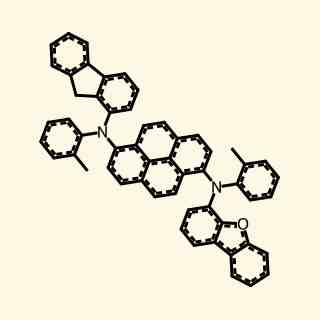 Cc1ccccc1N(c1cccc2c1Cc1ccccc1-2)c1ccc2ccc3c(N(c4ccccc4C)c4cccc5c4oc4ccccc45)ccc4ccc1c2c43